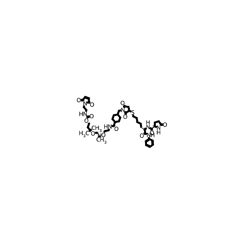 CN(COC(C)(C)CCOC(=O)NCCN1C(=O)C=CC1=O)OCCNC(=O)C1CCC(CN2C(=O)CC(SCCCCC[C@H](NC(=O)[C@H]3CCC(=O)N3)C(=O)Nc3ccccc3)C2=O)CC1